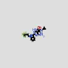 CC1(C(=O)NC2CC2)C(=O)Nc2nc(-c3nn(CCC(F)(F)C(F)(F)F)c4ccccc34)nc(N)c21